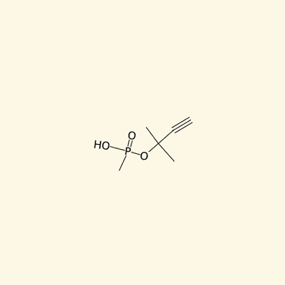 C#CC(C)(C)OP(C)(=O)O